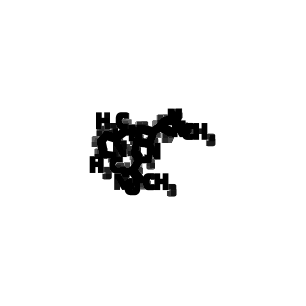 Cc1noc(C)c1-c1cnc2c(-c3cnn(C)c3)cn([C@H](C)c3ccccn3)c2c1